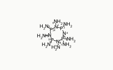 NN1P(N)N=P(N)(N)N(N)P(N)N(N)P1N